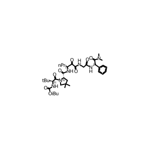 CCC[C@H](NC(=O)[C@@H]1CC(C)(C)CN1C(=O)[C@@H](NC(=O)OCC(C)C)C(C)(C)C)C(=O)C(=O)NCC(=O)N[C@H](C(=O)N(C)C)c1ccccc1